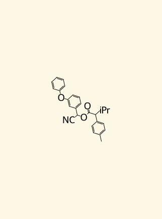 Cc1ccc(C(C(=O)OC(C#N)c2cccc(Oc3ccccc3)c2)C(C)C)cc1